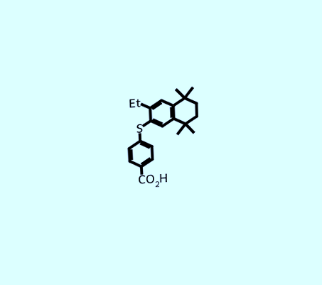 CCc1cc2c(cc1Sc1ccc(C(=O)O)cc1)C(C)(C)CCC2(C)C